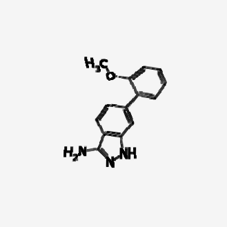 COc1ccccc1-c1ccc2c(N)n[nH]c2c1